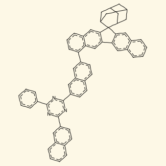 c1ccc(-c2nc(-c3ccc4ccccc4c3)nc(-c3ccc4ccc(-c5cccc6cc7c(cc56)-c5cc6ccccc6cc5C75C6CC7CC(C6)CC5C7)cc4c3)n2)cc1